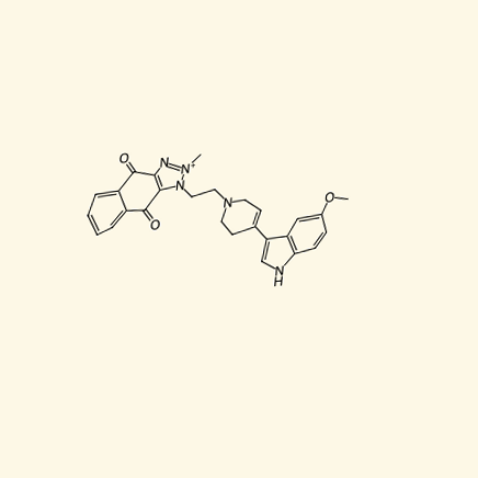 COc1ccc2[nH]cc(C3=CCN(CCn4c5c(n[n+]4C)C(=O)c4ccccc4C5=O)CC3)c2c1